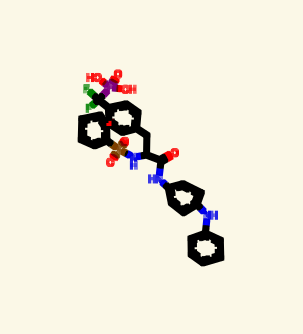 O=C(Nc1ccc(Nc2ccccc2)cc1)C(Cc1ccc(C(F)(F)P(=O)(O)O)cc1)NS(=O)(=O)c1ccccc1